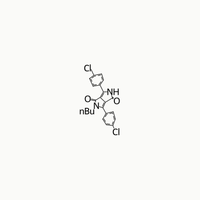 CCCCN1C(=O)C2=C(c3ccc(Cl)cc3)NC(=O)C2=C1c1ccc(Cl)cc1